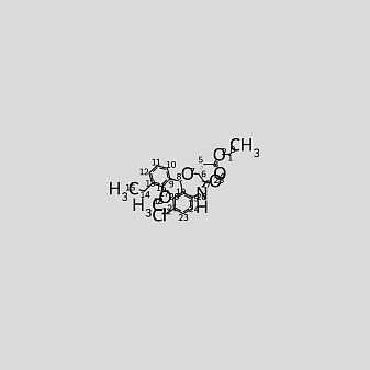 CCOC(=O)C[C@H]1O[C@H](c2cccc(CC)c2OC)c2cc(Cl)ccc2NC1=O